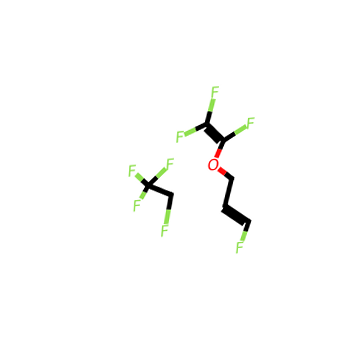 FC=CCOC(F)=C(F)F.FCC(F)(F)F